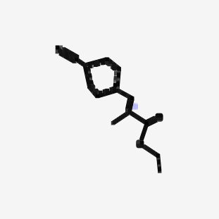 CCOC(=O)/C(C)=C/c1ccc(C#N)cc1